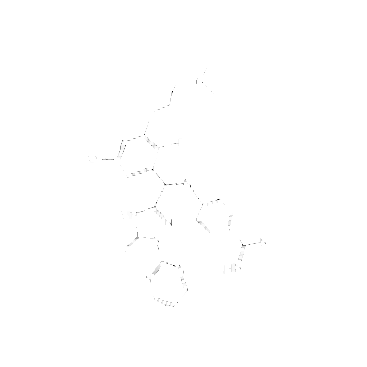 CCc1cc(OCCN(C)C)c(F)c(C(Nc2ccc(C(=N)N)cc2)c2nn(-c3ncccn3)c(=O)[nH]2)c1